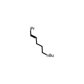 CCCCCCCC=CC(C)C